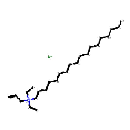 C=CC[N+](CC)(CC)CCCCCCCCCCCCCCCCCC.[Br-]